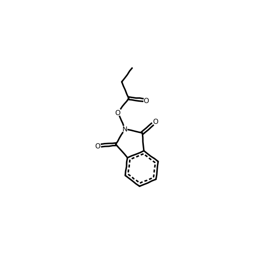 CCC(=O)ON1C(=O)c2ccccc2C1=O